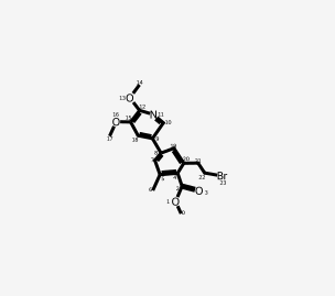 COC(=O)c1c(C)cc(-c2cnc(OC)c(OC)c2)cc1CCBr